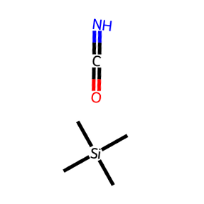 C[Si](C)(C)C.N=C=O